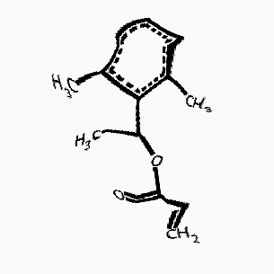 C=CC(=O)OC(C)c1c(C)cccc1C